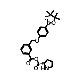 CC1(C)OB(c2ccc(OCc3cccc(C(=O)OC(=O)[C@@H]4CCCN4)c3)cc2)OC1(C)C